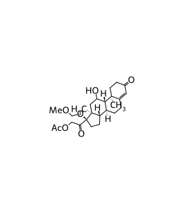 COCO[C@]1(C(=O)COC(C)=O)CC[C@H]2[C@@H]3CCC4=CC(=O)CC[C@]4(C)[C@H]3C(O)C[C@@]21C